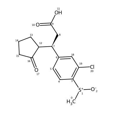 C[S+]([O-])c1ccc([C@H](CC(=O)O)C2CCCC2=O)cc1Cl